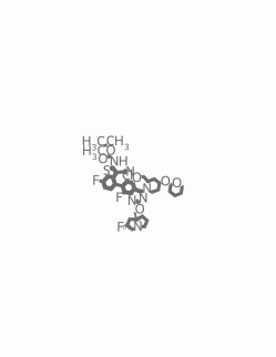 CC(C)(C)OC(=O)Nc1sc2c(F)ccc(-c3c(Cl)c4c5c(nc(OC[C@@]67CCCN6C[C@H](F)C7)nc5c3F)N3CCC(OC5CCCCO5)CC3CO4)c2c1C#N